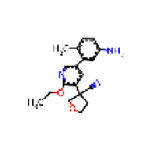 CCOc1ncc(-c2cc(N)ccc2C)cc1C1(C#N)CCOC1